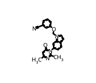 Cc1cc(=O)n(-c2ccc3ccn(COc4cccc(C#N)c4)c3c2)c(C)n1